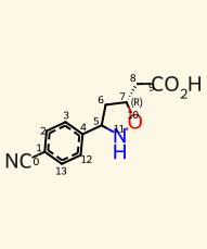 N#Cc1ccc(C2C[C@H](CC(=O)O)ON2)cc1